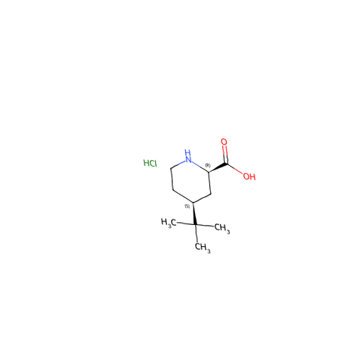 CC(C)(C)[C@H]1CCN[C@@H](C(=O)O)C1.Cl